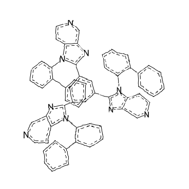 c1ccc(-c2ccccc2-n2c(-c3cc(-c4nc5cnccc5n4-c4ccccc4-c4ccccc4)cc(-c4nc5cnccc5n4-c4ccccc4-c4ccccc4)c3)nc3cnccc32)cc1